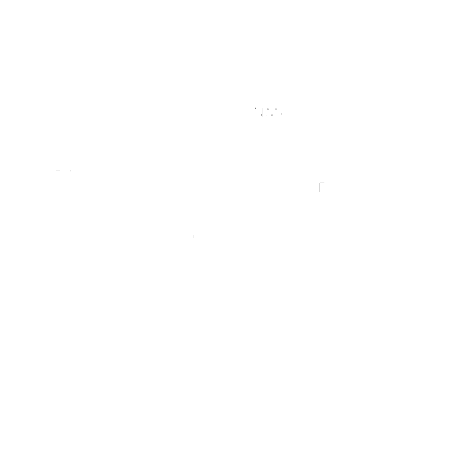 CNC1=C(c2cccc(C(F)(F)F)c2)C(=O)C(c2cc(Cl)cc3cccc(F)c23)C1